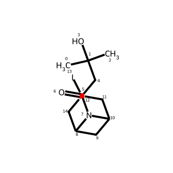 CC(C)(O)CC(=O)N1C2CC1CN(I)C2